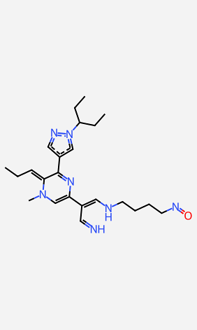 CC/C=C1/C(c2cnn(C(CC)CC)c2)=NC(/C(C=N)=C/NCCCCN=O)=CN1C